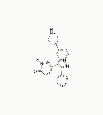 CC(C)n1nc(-c2c(-c3ccccc3)nn3ccc(N4CCNCC4)cc23)ccc1=O